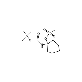 CC(C)(C)OC(=O)NC1(OS(C)(=O)=O)CCCCC1